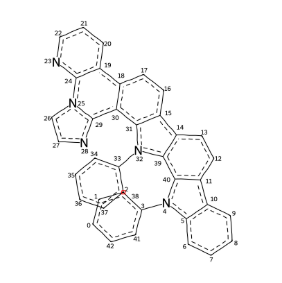 c1ccc(-n2c3ccccc3c3ccc4c5ccc6c7cccnc7n7ccnc7c6c5n(-c5ccccc5)c4c32)cc1